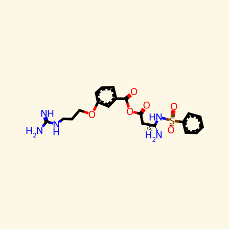 N=C(N)NCCCOc1cccc(C(=O)OC(=O)C[C@@H](N)NS(=O)(=O)c2ccccc2)c1